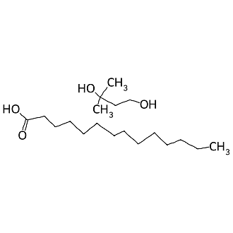 CC(C)(O)CCO.CCCCCCCCCCCCCC(=O)O